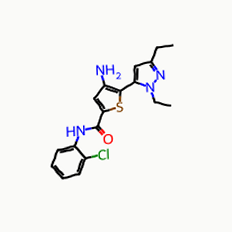 CCc1cc(-c2sc(C(=O)Nc3ccccc3Cl)cc2N)n(CC)n1